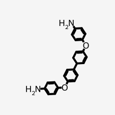 Nc1ccc(OC2=CCC(c3ccc(Oc4ccc(N)cc4)cc3)C=C2)cc1